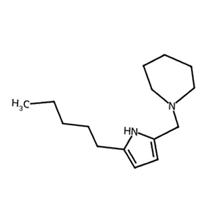 CCCCCc1ccc(CN2CCCCC2)[nH]1